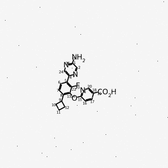 Nc1cnc(-c2ccc(C3CCC3)c(Oc3ccc(C(=O)O)cn3)c2F)cn1